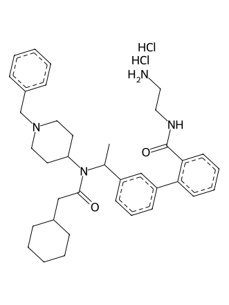 CC(c1cccc(-c2ccccc2C(=O)NCCN)c1)N(C(=O)CC1CCCCC1)C1CCN(Cc2ccccc2)CC1.Cl.Cl